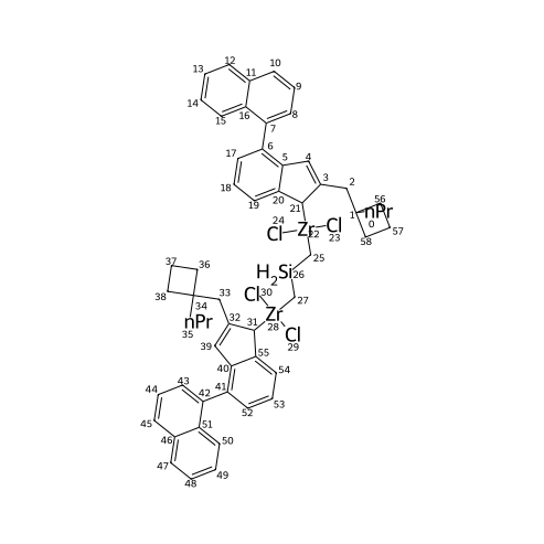 CCCC1(CC2=Cc3c(-c4cccc5ccccc45)cccc3[CH]2[Zr]([Cl])([Cl])[CH2][SiH2][CH2][Zr]([Cl])([Cl])[CH]2C(CC3(CCC)CCC3)=Cc3c(-c4cccc5ccccc45)cccc32)CCC1